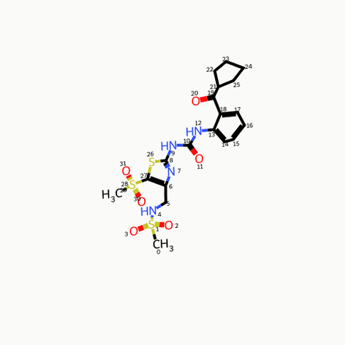 CS(=O)(=O)NCc1nc(NC(=O)Nc2ccccc2C(=O)C2CCCC2)sc1S(C)(=O)=O